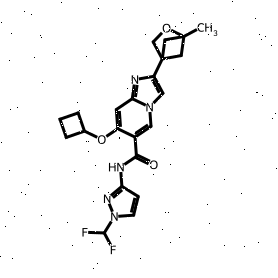 CC12CC(c3cn4cc(C(=O)Nc5ccn(C(F)F)n5)c(OC5CCC5)cc4n3)(CO1)C2